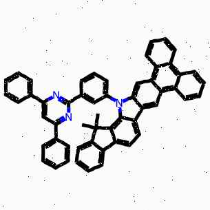 CC1(C)c2ccccc2-c2ccc3c4cc5c6ccccc6c6ccccc6c5cc4n(-c4cccc(-c5nc(-c6ccccc6)cc(-c6ccccc6)n5)c4)c3c21